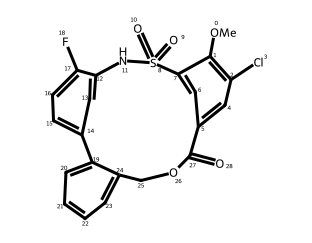 COc1c(Cl)cc2cc1S(=O)(=O)Nc1cc(ccc1F)-c1ccccc1COC2=O